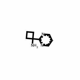 NC1(c2nc[c]cn2)CCC1